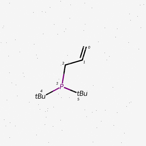 C=CCP(C(C)(C)C)C(C)(C)C